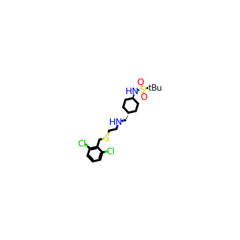 CC(C)(C)S(=O)(=O)N[C@H]1CC[C@H](CNCCSCc2c(Cl)cccc2Cl)CC1